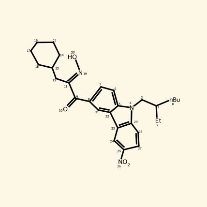 CCCCC(CC)Cn1c2ccc(C(=O)C(CC3CCCCC3)=NO)cc2c2cc([N+](=O)[O-])ccc21